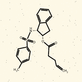 C=CCCC(=O)O[C@H]1Cc2ccccc2[C@H]1NS(=O)(=O)c1ccc(C)cc1